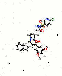 COc1cc([C@@H](O)[C@H](CC2Cc3ccccc3C2)Cn2ccc(CCC(=O)NS(=O)(=O)c3ccc(Cl)nc3)c2)cc(OC)c1C